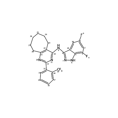 Fc1cc(F)c2[nH]nc(Nc3nc(-c4ccccc4C(F)(F)F)nc4c3CCCCCC4)c2c1